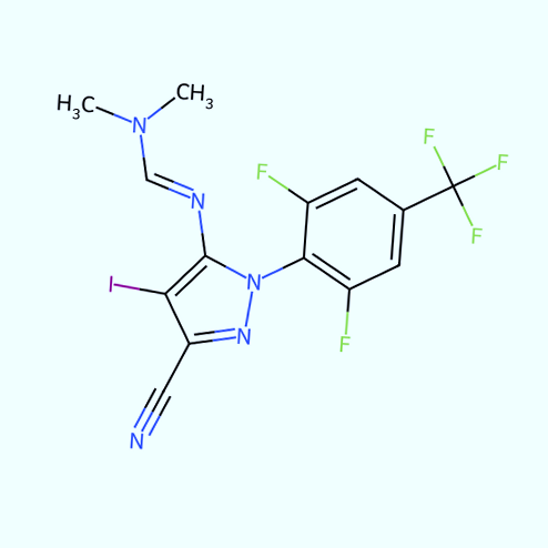 CN(C)C=Nc1c(I)c(C#N)nn1-c1c(F)cc(C(F)(F)F)cc1F